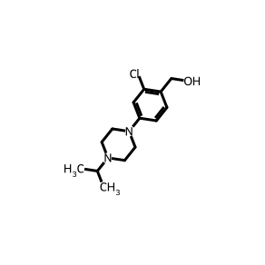 CC(C)N1CCN(c2ccc(CO)c(Cl)c2)CC1